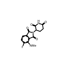 CNc1c(F)ccc2c1C(=O)N(C1CCC(=O)NC1=O)C2=O